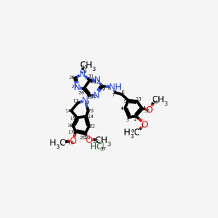 COc1ccc(CCNc2nc(N3CCc4cc(OC)c(OC)cc4C3)c3ncn(C)c3n2)cc1OC.Cl